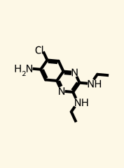 CCNc1nc2cc(N)c(Cl)cc2nc1NCC